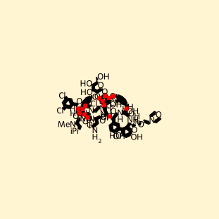 CN[C@H](CC(C)C)C(=O)N[C@H]1C(=O)NC(CC(N)=O)C(=O)NC2C(=O)N[C@H]3C(=O)N[C@H](C(=O)N[C@@H](C(=O)NOCCN4CCOCC4)c4cc(O)cc(O)c4-c4cc3ccc4O)[C@H](O)c3ccc(c(Cl)c3)Oc3cc2cc(c3O[C@@H]2O[C@H](CO)[C@@H](O)[C@H](O)[C@H]2O[C@H]2C[C@](C)(NCCn3ccc(NC(=O)c4cc(Cl)cc(Cl)c4)nc3=O)[C@H](O)C(C)O2)Oc2ccc(cc2Cl)[C@H]1O